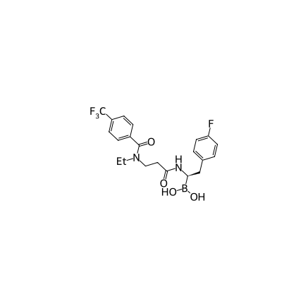 CCN(CCC(=O)N[C@@H](Cc1ccc(F)cc1)B(O)O)C(=O)c1ccc(C(F)(F)F)cc1